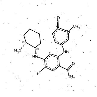 Cn1cc(Nc2nc(N[C@H]3CCCC[C@H]3N)c(F)cc2C(N)=O)ccc1=O